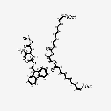 CC(C)(C)OC(=O)CC(NC(=O)OCC1c2ccccc2-c2ccccc21)C(N)=O.CCCCCCCC/C=C\CCCCCCCC(=O)OCC(C)OC(=O)CCCCCCC/C=C\CCCCCCCC